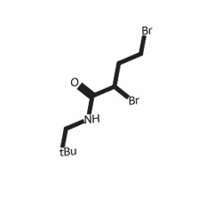 CC(C)(C)CNC(=O)C(Br)CCBr